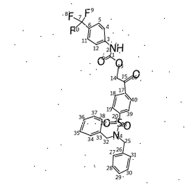 O=C(Nc1ccc(C(F)(F)F)cc1)OCC(=O)c1ccc(S(=O)(=O)N(Cc2ccccc2)Cc2ccccc2)cc1